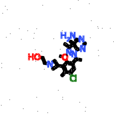 COc1c(C(C)N2N=C(C)C3(C)C(N)=NC=NC23)cc(Cl)c(C)c1C1CN(CCO)C1